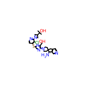 CC(C)(O)C1CN(c2nccc(Sc3cnc(N4CCC5(CC4)Cc4ccncc4[C@H]5N)c(CO)n3)c2Cl)C1